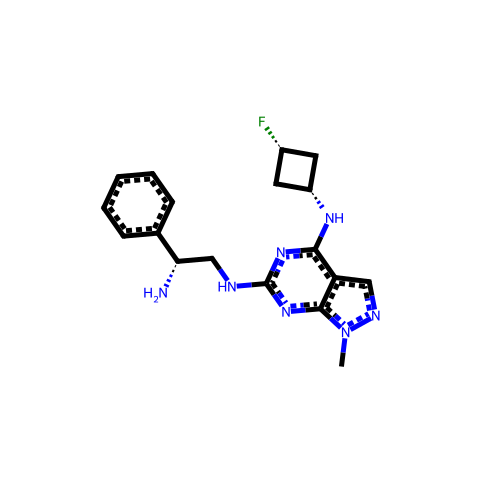 Cn1ncc2c(N[C@H]3C[C@@H](F)C3)nc(NC[C@H](N)c3ccccc3)nc21